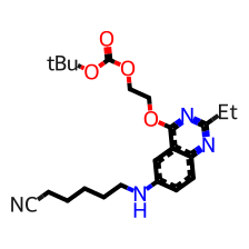 CCc1nc(OCCOC(=O)OC(C)(C)C)c2cc(NCCCCCC#N)ccc2n1